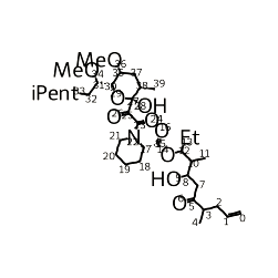 C=CCC(C)C(=O)CC(O)C(C)C(CC)OC(=O)[C@@H]1CCCCN1C(=O)C(=O)[C@]1(O)O[C@H](C(CC(C)CCC)OC)[C@@H](OC)C[C@H]1C